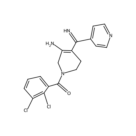 N=C(C1=C(N)CN(C(=O)c2cccc(Cl)c2Cl)CC1)c1ccncc1